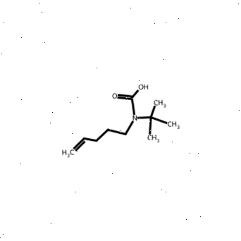 C=CCCCN(C(=O)O)C(C)(C)C